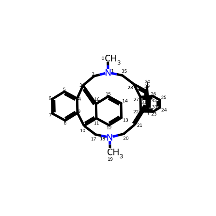 CN1Cc2c3ccccc3c(c3ccccc23)CN(C)Cc2c3ccccc3c(c3ccccc23)C1